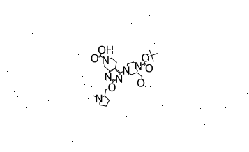 COCC1CN(c2nc(OCC3CCCN3C)nc3c2CCN(C(=O)O)C3)CCN1C(=O)OC(C)(C)C